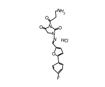 Cl.NCCC(=O)N1C(=O)CN(/N=C/c2ccc(-c3ccc(F)cc3)o2)C1=O